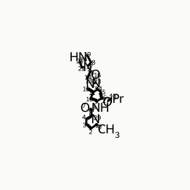 Cc1cccc(C(=O)Nc2cc3cn(CC(=O)N4CCNCC4)nc3cc2OC(C)C)n1